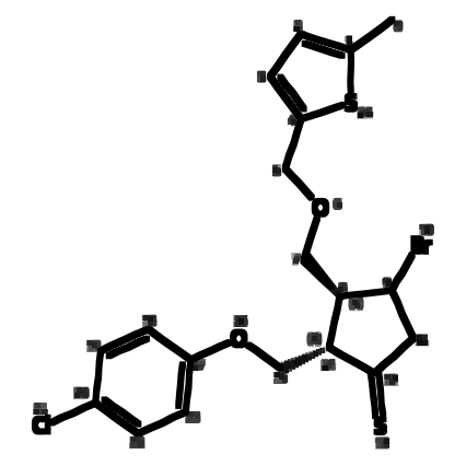 Cc1ccc(COC[C@H]2C(Br)CC(=S)[C@@H]2COc2ccc(Cl)cc2)s1